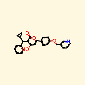 O=c1oc(-c2ccc(OCc3cccnc3)cc2)cc(O)c1C(c1ccccc1)C1CC1